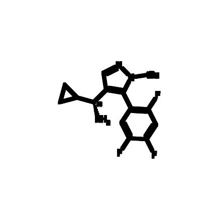 CC(C)(C)n1ncc([C@H](N)C2CC2)c1-c1cc(F)c(F)cc1F